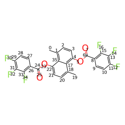 Cc1ccc(OC(=O)c2ccc(F)c(F)c2F)c2c(C)ccc(OC(=O)c3ccc(F)c(F)c3F)c12